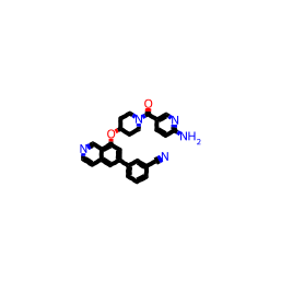 N#Cc1cccc(-c2cc(OC3CCN(C(=O)c4ccc(N)nc4)CC3)c3cnccc3c2)c1